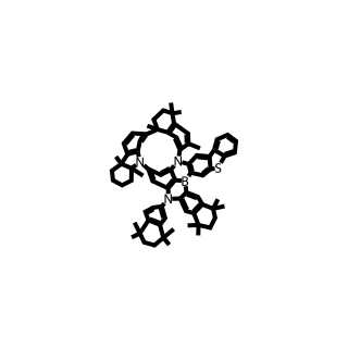 Cc1cc2c3cc1N1c4cc5c(cc4B4c6cc7c(cc6N(c6ccc8c(c6)C(C)(C)CCC8(C)C)c6cc(cc1c64)N1c4cc(ccc4C4(C)CCCCC14C)C3(C)CCC2(C)C)C(C)(C)CCC7(C)C)sc1ccccc15